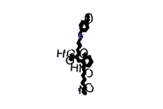 COc1ccc(/C=C/CCCCC(CC2=C(NC(=O)CCCC(=O)N(C)C)C=CCC2=O)C(=O)O)cc1